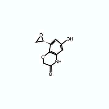 O=C1COc2c(cc(O)cc2[C@@H]2CO2)N1